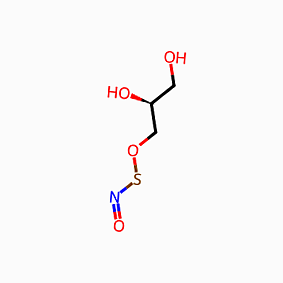 O=NSOC[C@@H](O)CO